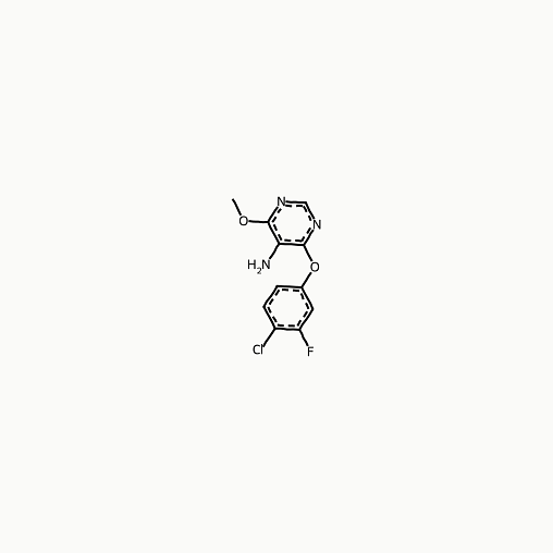 COc1ncnc(Oc2ccc(Cl)c(F)c2)c1N